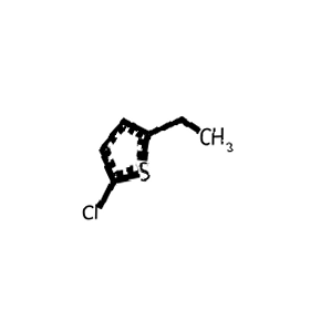 CCc1ccc(Cl)s1